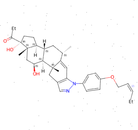 CC/C=C\COc1ccc(-n2ncc3c2C=C2[C@@H](C)C[C@@H]4[C@H]([C@@H](O)C[C@@]5(C)[C@H]4CC[C@]5(O)C(=O)CC)[C@@]2(C)C3)cc1